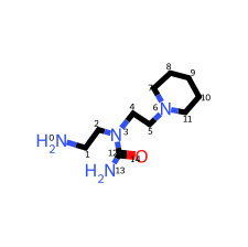 NCCN(CCN1CCCCC1)C(N)=O